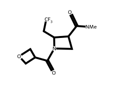 CNC(=O)C1CN(C(=O)C2COC2)C1CC(F)(F)F